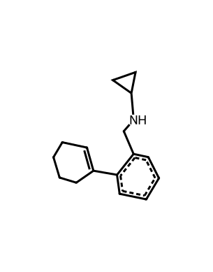 C1=C(c2ccccc2CNC2CC2)CCCC1